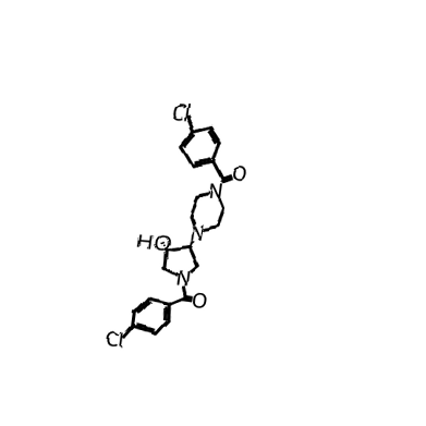 O=C(c1ccc(Cl)cc1)N1CCN([C@H]2CN(C(=O)c3ccc(Cl)cc3)C[C@@H]2O)CC1